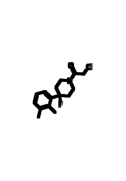 Cc1cccc(C2(F)CCN(C(=O)CCl)CC2)c1C